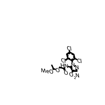 COC(C)OCC(=O)Nc1c([N+](=O)[O-])cnn1-c1c(Cl)cc(Cl)cc1Cl